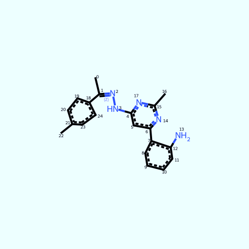 C/C(=N/Nc1cc(-c2ccccc2N)nc(C)n1)c1ccc(C)cc1